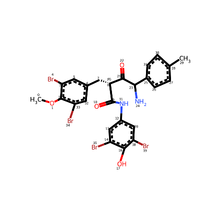 COc1c(Br)cc(C[C@@H](C(=O)Nc2cc(Br)c(O)c(Br)c2)C(=O)C(N)c2ccc(C)cc2)cc1Br